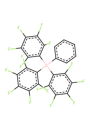 Fc1c(F)c(F)c([B-](c2ccccc2)(c2c(F)c(F)c(F)c(F)c2F)c2c(F)c(F)c(F)c(F)c2F)c(F)c1F